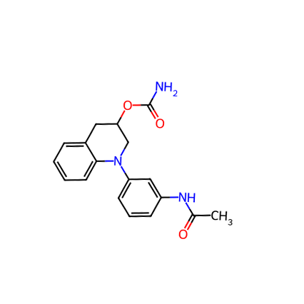 CC(=O)Nc1cccc(N2CC(OC(N)=O)Cc3ccccc32)c1